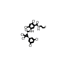 O=C(NCCF)c1cc(NC(=O)[C@@H]2[C@@H](c3cc(Cl)cc(Cl)c3)C2(Cl)Cl)c(Cl)cc1Cl